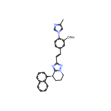 COc1cc(/C=C/c2nc3n(n2)CCC[C@H]3c2cccc3ccccc23)ccc1-n1cnc(C)c1